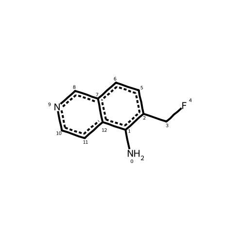 Nc1c(CF)ccc2cnccc12